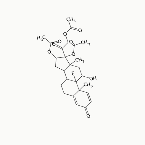 CC(=O)OCC(=O)C1(OC(C)=O)C(OC(C)=O)CC2C3CCC4=CC(=O)C=CC4(C)C3(F)C(O)CC21C